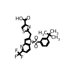 CC(C)(C)c1cccc(S(=O)(=O)n2c(Cc3nc(C(=O)O)cs3)cc3nc(C(F)(F)F)ccc32)c1